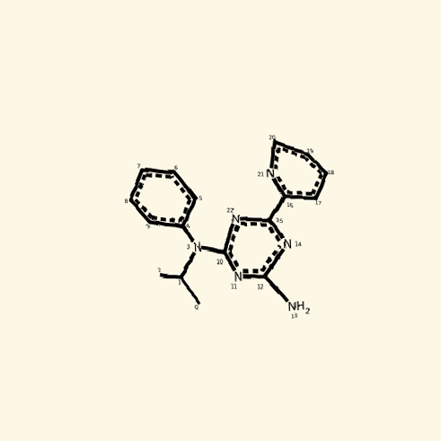 CC(C)N(c1ccccc1)c1nc(N)nc(-c2ccccn2)n1